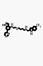 FC(F)(F)c1ccc2[nH]c(CNCCCCOCCNc3cc(-c4ccncn4)cc4[nH]ncc34)cc2c1